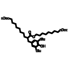 CCCCCCCCCCCCCCCCCCOC(=O)C(CCCCCCCCCCCCCCCCCC)Cc1cc(C(C)(C)C)c(O)c(C(C)(C)C)c1